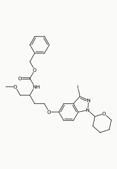 COCC(CCOc1ccc2c(c1)c(I)nn2C1CCCCO1)NC(=O)OCc1ccccc1